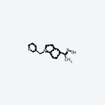 CC(=NO)c1ccc2c(ccn2Cc2cccnc2)c1